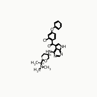 C[C@@H]([C@@H]1CC[C@@H](Nc2ncnc3[nH]cc(C(=O)c4ccc(Oc5ccccc5)cc4Cl)c23)CO1)N(C)C